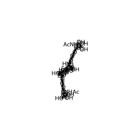 CCC(CC)(CC(COP(=O)(O)OC)NC(=O)COCCOCCOCCO[C@@H]1O[C@H](CO)[C@H](O)[C@H](O)[C@H]1NC(C)=O)OP(=O)(O)OCC1CC(O)(CC)N1C(=O)COCCOCCOCCO[C@@H]1O[C@H](CO)[C@H](O)[C@H](O)[C@H]1NC(C)=O